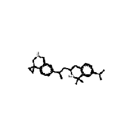 CC(C)c1ccc2c(c1)C(C)(C)NC(CC(C)c1ccc3c(c1)CNCC31CC1)C2